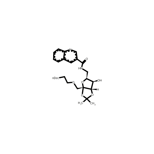 CCCCCCCCCCCCOC[C@@]12O[C@@H](CNC(=O)c3cnc4ccccc4c3)[C@@H](O)[C@@H]1OC(C)(C)O2